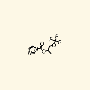 CC(COC(F)(F)F)OC(=O)n1ccnc1